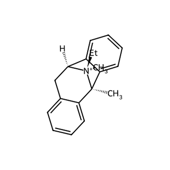 CC[N@+]1(C)[C@H]2Cc3ccccc3[C@]1(C)c1ccccc12